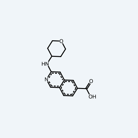 O=C(O)c1ccc2cnc(NC3CCOCC3)cc2c1